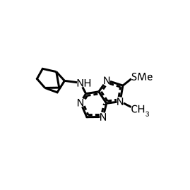 CSc1nc2c(NC3CC4CCC3C4)ncnc2n1C